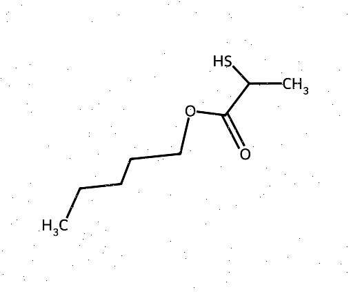 CCCCCOC(=O)C(C)S